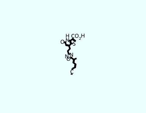 C=C=C/C=C\C=C(/C)c1nc(CCc2cc(=O)[nH]c3c(C(=O)O)csc23)no1